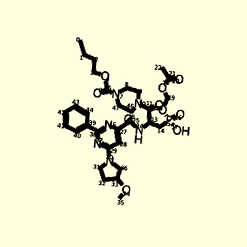 CCCCOC(=O)N1CCN(C(=O)C(CP(=O)(O)OCOC(C)=O)NC(=O)c2cc(N3CCC(OC)C3)nc(-c3ccccc3)n2)CC1